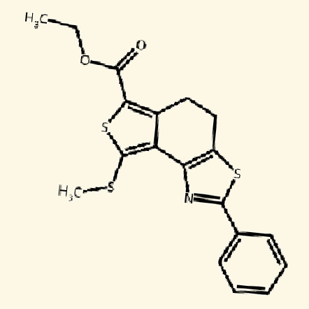 CCOC(=O)c1sc(SC)c2c1CCc1sc(-c3ccccc3)nc1-2